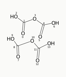 O=C(O)OC(=O)O.O=C(O)OC(=O)O